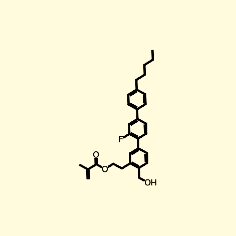 C=C(C)C(=O)OCCc1cc(-c2ccc(-c3ccc(CCCCC)cc3)cc2F)ccc1CO